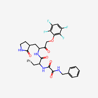 CC(C)CC(NC(=O)C(=O)NCc1ccccc1)C(=O)NC(CC1CCNC1=O)C(=O)COc1c(F)c(F)cc(F)c1F